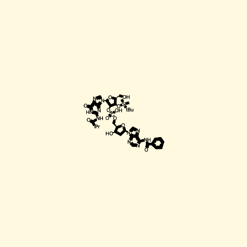 CC(C)C(=O)Nc1nc2c(ncn2[C@@H]2O[C@H](CO)[C@@H](O[Si](C)(C)C(C)(C)C)[C@H]2OP(=O)(O)OC[C@H]2O[C@@H](n3cnc4c(NC(=O)c5ccccc5)ncnc43)C[C@@H]2O)c(=O)[nH]1